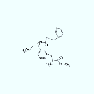 C=CC[C@H](NC(=O)OCc1ccccc1)c1cccc(CC(N)C(=O)OC)c1